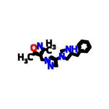 Cc1noc(C)c1Cn1cc(N2CNC(Cc3ccccc3)C2)cn1